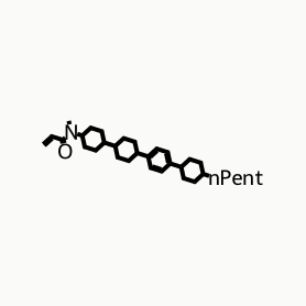 C=CC(=O)N(C)C1CCC(C2CCC(c3ccc(C4CCC(CCCCC)CC4)cc3)CC2)CC1